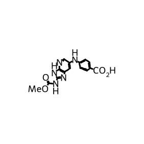 COC(=O)Nc1nc2cc(Nc3ccc(C(=O)O)cc3)cnc2[nH]1